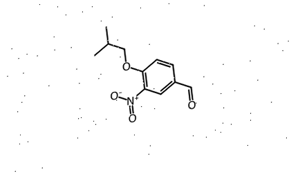 CC(C)COc1ccc(C=O)cc1[N+](=O)[O-]